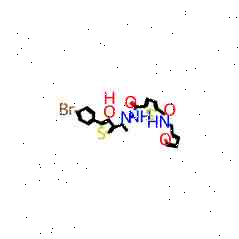 CC(=NNC(=O)c1ccc(C(=O)NCc2ccco2)s1)c1csc(-c2ccc(Br)cc2)c1O